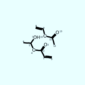 C=CC(=O)OC(C)O.C=COC(C)=O